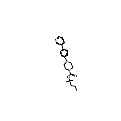 CCCC(C)(C)OC(=O)N1CCN(c2ccc(-c3cccnc3)cc2)CC1